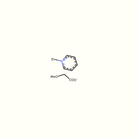 CC[n+]1ccccc1.COCC(=O)[O-]